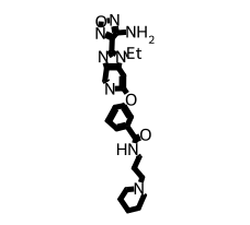 CCn1c(-c2nonc2N)nc2cnc(Oc3cccc(C(=O)NCCCN4CCCCC4)c3)cc21